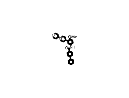 COc1ccc(NC(=O)c2ccc(-c3ccccc3)cc2)cc1C1CCN(C2CCOCC2)CC1